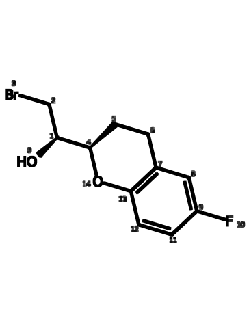 O[C@@H](CBr)[C@H]1CCc2cc(F)ccc2O1